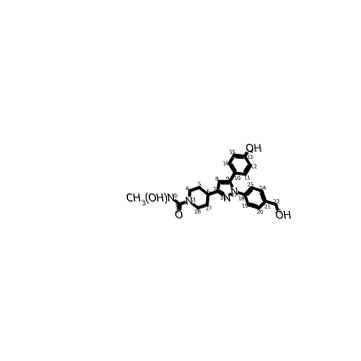 CN(O)C(=O)N1CCC(c2cc(-c3ccc(O)cc3)n(-c3ccc(CO)cc3)n2)CC1